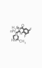 CCC[C@H](c1nc2c(F)cc(F)cc2c(=O)n1C)N1CCN[C@@H](C)C1